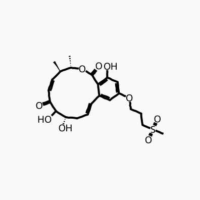 C[C@@H]1/C=C\C(=O)C(O)[C@@H](O)C/C=C/c2cc(OCCCS(C)(=O)=O)cc(O)c2C(=O)O[C@H]1C